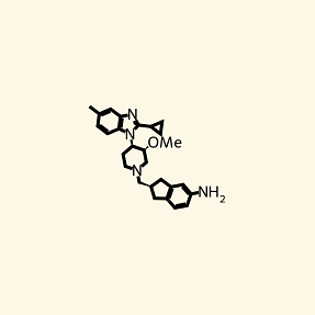 CO[C@@H]1CN(C[C@@H]2Cc3ccc(N)cc3C2)CC[C@H]1n1c(C2CC2)nc2cc(C)ccc21